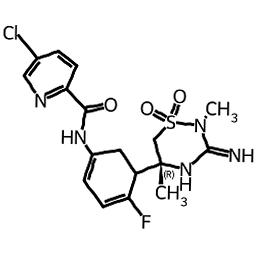 CN1C(=N)N[C@](C)(C2CC(NC(=O)c3ccc(Cl)cn3)=CC=C2F)CS1(=O)=O